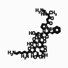 C[C@H](NCN)C(=O)CC(=O)[C@@H]1CCCN1N[C@@H](Cc1ccccc1)C(=O)N[C@@H](CC(=O)O)C(=O)N[C@@H](CC(=O)O)C(=O)C(=O)[C@H](CC(=O)O)NC(=O)[C@H](CC(=O)O)NC(=O)[C@@H](N)CCCCN